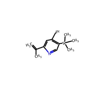 C=C(C)c1cc(C(C)C)c([Si](C)(C)C)cn1